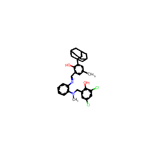 Cc1cc(/C=N/c2ccccc2N(C)Cc2cc(Cl)cc(Cl)c2O)c(O)c(C23CC4CC(CC(C4)C2)C3)c1